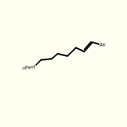 CCCCCCCCCCC=C[As]